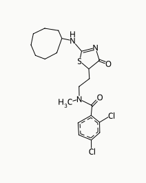 CN(CCC1SC(NC2CCCCCCC2)=NC1=O)C(=O)c1ccc(Cl)cc1Cl